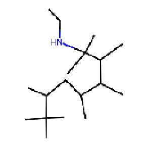 CCNC(C)(C)C(C)C(C)C(C)CC(C)C(C)(C)C